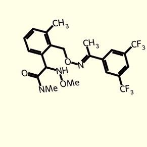 CNC(=O)C(NOC)c1cccc(C)c1CO/N=C(\C)c1cc(C(F)(F)F)cc(C(F)(F)F)c1